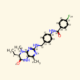 CC[C@@H]1C(=O)Nc2c(C)nc(NCc3ccc(NC(=O)c4ccc(F)cc4)cc3)nc2N1C